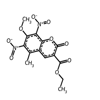 CCOC(=O)c1cc2c(C)c([N+](=O)[O-])c(OC)c([N+](=O)[O-])c2oc1=O